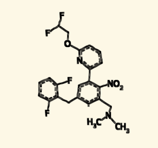 CN(C)Cc1[c]c(Cc2c(F)cccc2F)cc(-c2cccc(OCC(F)F)n2)c1[N+](=O)[O-]